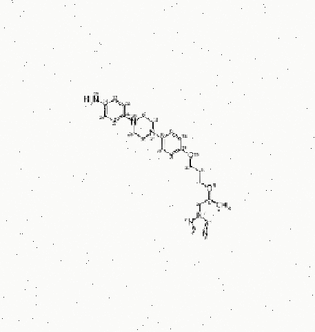 C[C@@H](Cn1cncn1)OCCCOc1ccc(N2CCN(c3ccc(N)cc3)CC2)cc1